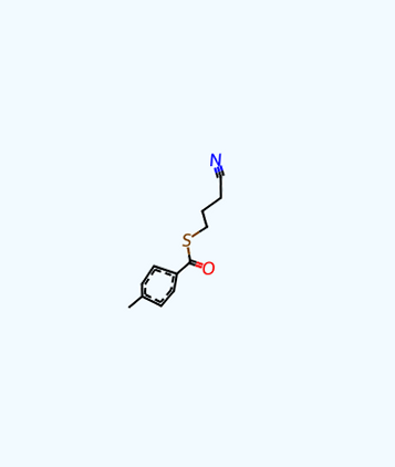 Cc1ccc(C(=O)SCCCC#N)cc1